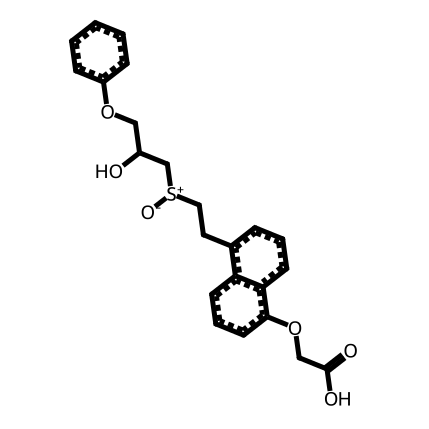 O=C(O)COc1cccc2c(CC[S+]([O-])CC(O)COc3ccccc3)cccc12